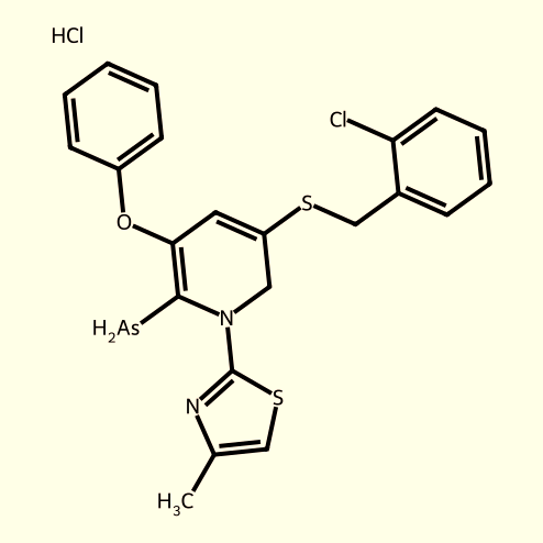 Cc1csc(N2CC(SCc3ccccc3Cl)=CC(Oc3ccccc3)=C2[AsH2])n1.Cl